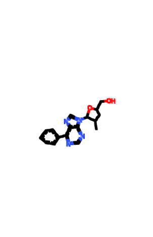 CC1CC(CO)OC1n1cnc2c(-c3ccccc3)ncnc21